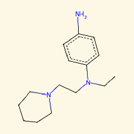 CCN(CCN1CCCCC1)c1ccc(N)cc1